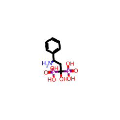 NC(CC(O)(P(=O)(O)O)P(=O)(O)O)c1ccccc1